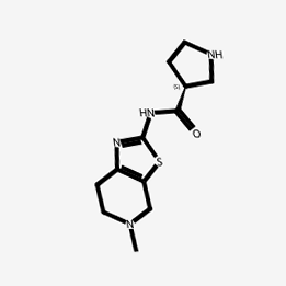 CN1CCc2nc(NC(=O)[C@H]3CCNC3)sc2C1